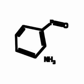 N.O=Pc1ccccc1